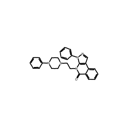 O=c1c2ccccc2c2cnn(-c3ccccc3)c2n1CCN1CCN(c2ccccc2)CC1